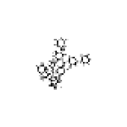 c1ccc(-c2ccc(N(c3ccc4c(c3)C3(c5ccccc5-4)c4ccccc4-c4cccc5ccc(-c6ccccc6)c3c45)c3ccc4sc5ccccc5c4c3)cc2)cc1